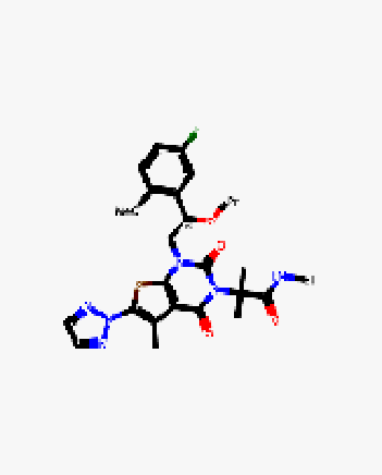 CCNC(=O)C(C)(C)n1c(=O)c2c(C)c(-n3nccn3)sc2n(C[C@H](OC(C)C)c2cc(F)ccc2OC)c1=O